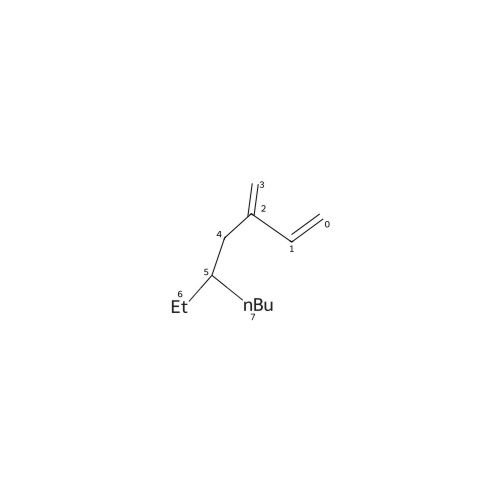 C=CC(=C)CC(CC)CCCC